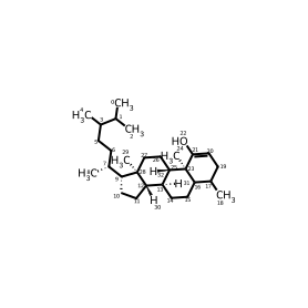 CC(C)C(C)CC[C@@H](C)[C@H]1CC[C@H]2[C@@H]3CCC4C(C)CC=C(O)[C@]4(C)[C@H]3CC[C@]12C